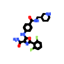 NC(=O)c1nc(-c2c(F)cccc2F)oc1Nc1ccc(C(=O)NC[C@@H]2CCCNC2)cc1